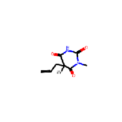 C=CCC1(C(C)C)C(=O)NC(=O)N(C)C1=O